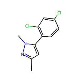 Cc1cc(-c2ccc(Cl)cc2Cl)n(C)n1